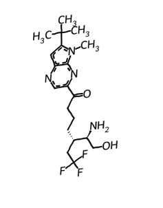 Cn1c(C(C)(C)C)cc2ncc(C(=O)CCC[C@@H](CC(F)(F)F)[C@@H](N)CO)nc21